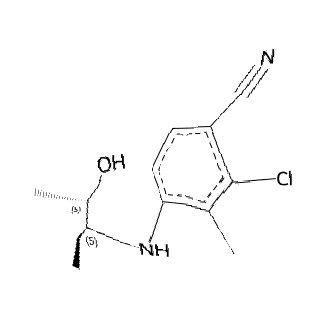 Cc1c(N[C@@H](C)[C@H](C)O)ccc(C#N)c1Cl